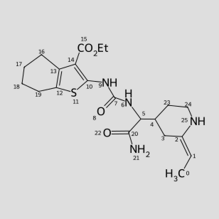 CC=C1CC(C(NC(=O)Nc2sc3c(c2C(=O)OCC)CCCC3)C(N)=O)CCN1